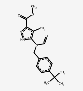 COC(=O)c1n[nH]c(N(C=O)Cc2ccc(C(C)(C)C)cc2)c1C